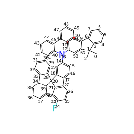 CC1(C)c2ccccc2-c2ccc(N(c3ccc4c(c3)C3(c5cc(F)ccc5-4)c4ccccc4C4C=CC=CC43)c3ccccc3-c3ccccc3)cc21